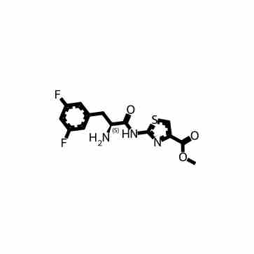 COC(=O)c1csc(NC(=O)[C@@H](N)Cc2cc(F)cc(F)c2)n1